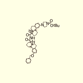 CC(C)(C)OC(=O)N1CCN(c2ccc3c(c2)[C@@]2(C)CCC[C@](C)(C(=O)NC(=O)[C@@]4(C)CCC[C@]5(C)c6cc(OCc7ccccc7)ccc6CC[C@@H]45)[C@@H]2CC3)CC1